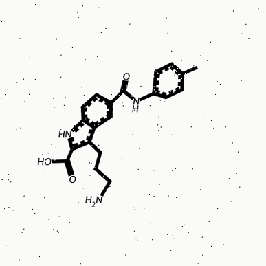 Cc1ccc(NC(=O)c2ccc3[nH]c(C(=O)O)c(CCCN)c3c2)cc1